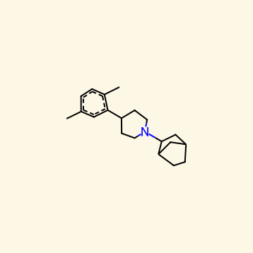 Cc1ccc(C)c(C2CCN(C3CC4CCC3C4)CC2)c1